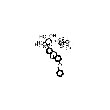 CO[C@@]1(c2ccc(Cl)c(Cc3ccc(OCc4ccccc4)cc3)c2)O[C@H](CO[Si](C)(C)C(C)(C)C)[C@@H](O)[C@H](O)[C@H]1O